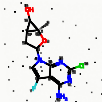 C[C@]12OC(n3cc(F)c4c(N)nc(Cl)nc43)CC1C2O